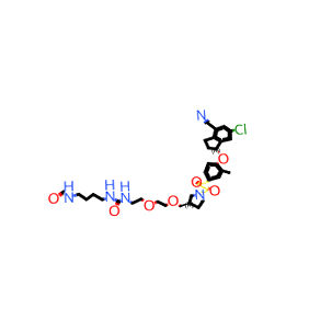 Cc1cc(S(=O)(=O)N2CC[C@@H](COCCOCCNC(=O)NCCCCNC=O)C2)ccc1O[C@@H]1CCc2c(C#N)cc(Cl)cc21